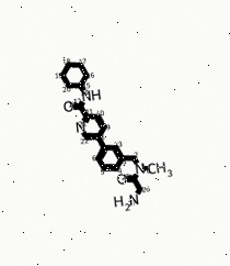 CN(Cc1cccc(-c2ccc(C(=O)NC3CCCCC3)nc2)c1)C(=O)CN